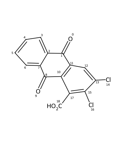 O=C1c2ccccc2C(=O)c2c1cc(Cl)c(Cl)c2C(=O)O